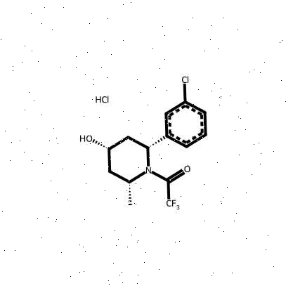 C[C@@H]1C[C@H](O)C[C@H](c2cccc(Cl)c2)N1C(=O)C(F)(F)F.Cl